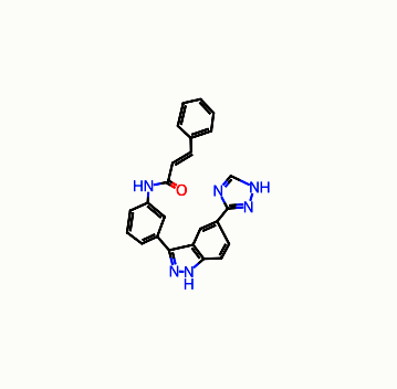 O=C(C=Cc1ccccc1)Nc1cccc(-c2n[nH]c3ccc(-c4nc[nH]n4)cc23)c1